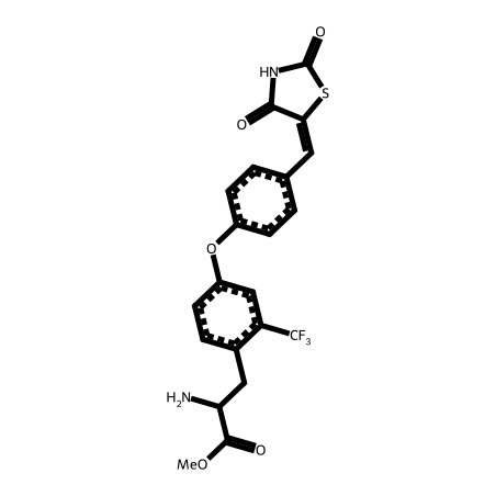 COC(=O)C(N)Cc1ccc(Oc2ccc(/C=C3/SC(=O)NC3=O)cc2)cc1C(F)(F)F